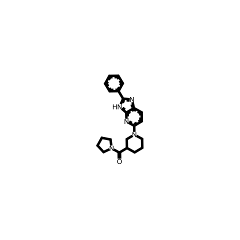 O=C(C1CCCN(c2ccc3nc(-c4ccccc4)[nH]c3n2)C1)N1CCCC1